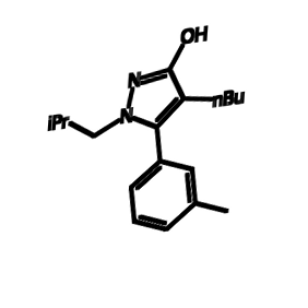 CCCCc1c(O)nn(CC(C)C)c1-c1cccc(C)c1